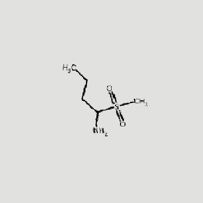 CCCC(N)S(C)(=O)=O